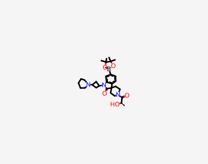 C[C@@H](O)C(=O)N1CCC2(CC1)C(=O)N(C1CC(N3CCCCC3)C1)c1cc(B3OC(C)(C)C(C)(C)O3)ccc12